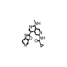 CNc1ncc(-c2nc3ccncc3o2)c2cc(NC(=O)C3CC3)ncc12